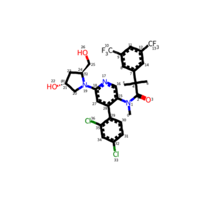 CN(C(=O)C(C)(C)c1cc(C(F)(F)F)cc(C(F)(F)F)c1)c1cnc(N2C[C@H](O)C[C@H]2CO)cc1-c1ccc(Cl)cc1Cl